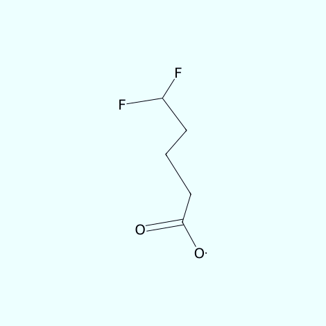 [O]C(=O)CCCC(F)F